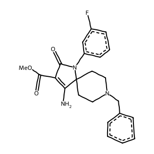 COC(=O)C1=C(N)C2(CCN(Cc3ccccc3)CC2)N(c2cccc(F)c2)C1=O